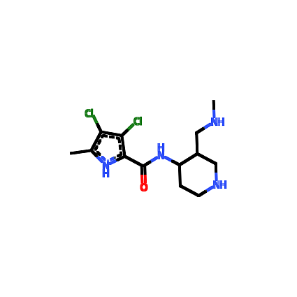 CNCC1CNCCC1NC(=O)c1[nH]c(C)c(Cl)c1Cl